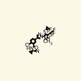 Cn1nc(C(F)(F)C(F)(F)F)c(SC2CC2)c1-n1cc(-c2ccc(Cl)c(C(=O)NC3(C#N)CC3)c2)cn1